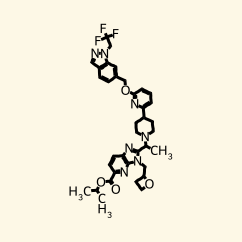 CC(C)OC(=O)c1ccc2nc(C(C)N3CCC(c4cccc(OCc5ccc6cnn(CC(F)(F)F)c6c5)n4)CC3)n(CC3CCO3)c2n1